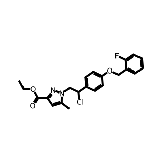 CCOC(=O)c1cc(C)n(CC(Cl)c2ccc(OCc3ccccc3F)cc2)n1